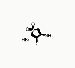 Br.NC1=CS(=O)(=O)C=C1Cl